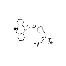 CCOC(Cc1ccc(OCC/C2=C/C3=C(CCC=C3)CNc3ccccc32)cc1)C(=O)O